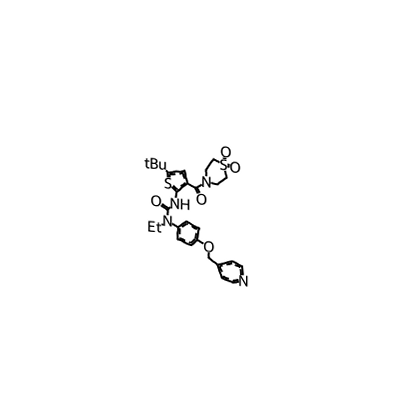 CCN(C(=O)Nc1sc(C(C)(C)C)cc1C(=O)N1CCS(=O)(=O)CC1)c1ccc(OCc2ccncc2)cc1